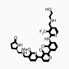 COc1nc(-c2ccnc(-c3cccc(Nc4nccc(CNCCO)c4C(F)(F)F)c3Cl)c2Cl)ccc1CNC[C@H]1CCC(=O)N1